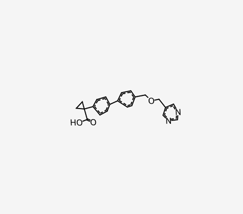 O=C(O)C1(c2ccc(-c3ccc(COCc4cncnc4)cc3)cc2)CC1